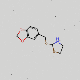 c1cc2c(cc1CSC1NCCS1)OCO2